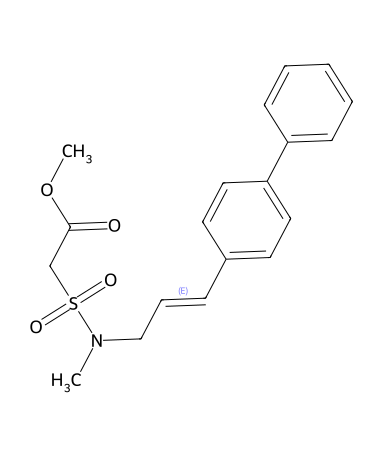 COC(=O)CS(=O)(=O)N(C)C/C=C/c1ccc(-c2ccccc2)cc1